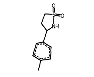 Cc1ccc(C2CCS(=O)(=O)N2)cc1